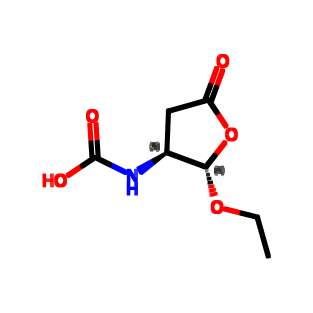 CCO[C@H]1OC(=O)C[C@@H]1NC(=O)O